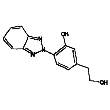 OCCc1ccc(-n2nc3ccccc3n2)c(O)c1